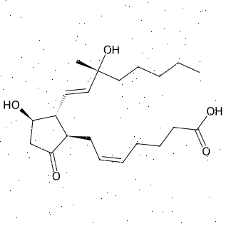 CCCCC[C@@](C)(O)/C=C/[C@H]1[C@H](O)CC(=O)[C@@H]1C/C=C\CCCC(=O)O